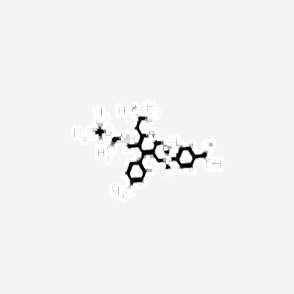 Cc1ccc(-c2c(CS(=O)(=O)c3ccc(C(=O)O)cc3)c(C)nc(CC(C)C)c2CNC(=O)OC(C)(C)C)cc1